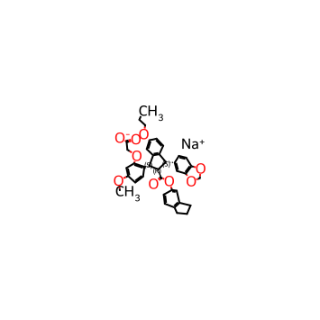 CCCOc1ccc2c(c1)[C@@H](c1ccc(OC)cc1OCC(=O)[O-])[C@H](C(=O)Oc1ccc3c(c1)CCC3)[C@H]2c1ccc2c(c1)OCO2.[Na+]